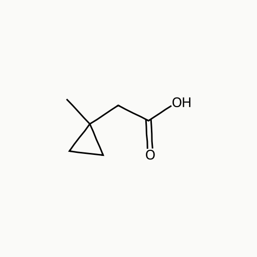 CC1(CC(=O)O)CC1